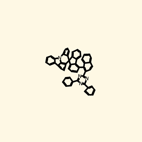 c1ccc(-c2nc(-c3ccccc3)nc(-c3ccc4ccccc4c3-c3cccc4c3-c3ccccc3C43c4ccccc4-n4c5ccccc5c5cccc3c54)n2)cc1